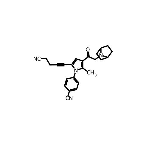 Cc1c(C(=O)CN2C3CCC2CC3)cc(C#CCCC#N)n1-c1ccc(C#N)cc1